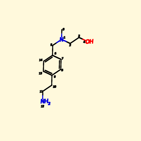 CN(CCO)Cc1ccc(CCN)cc1